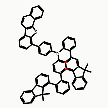 CC1(C)c2ccccc2-c2ccc(-c3ccccc3N(c3ccc(-c4ccccc4-c4cccc5c4C(C)(C)c4ccccc4-5)cc3)c3ccc(-c4cccc5c4sc4c6ccccc6ccc54)cc3)cc21